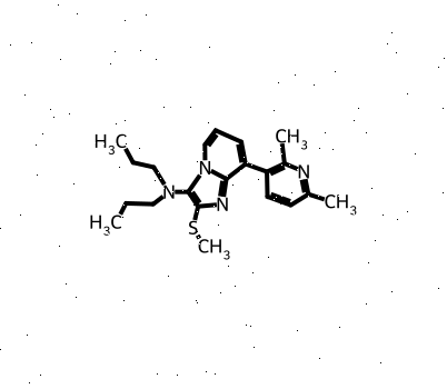 CCCN(CCC)c1c(SC)nc2c(-c3ccc(C)nc3C)cccn12